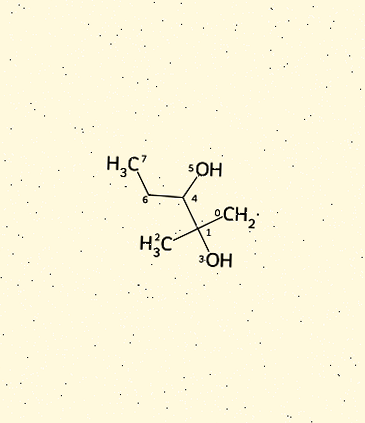 [CH2]C(C)(O)C(O)CC